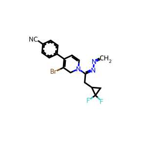 C=N/N=C(/CC1CC1(F)F)N1C=CC(c2ccc(C#N)cc2)=C(Br)C1